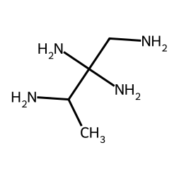 CC(N)C(N)(N)CN